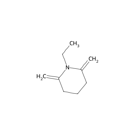 C=C1CCCC(=C)N1CC